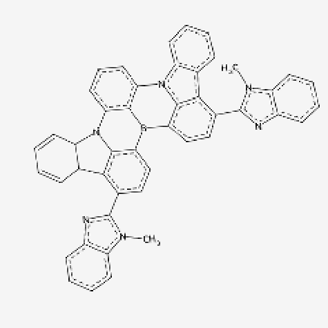 Cn1c(-c2ccc3c4c2C2C=CC=CC2N4c2cccc4c2B3c2ccc(-c3nc5ccccc5n3C)c3c5ccccc5n-4c23)nc2ccccc21